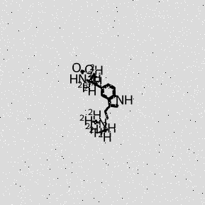 [2H]C([2H])([2H])N(CCc1c[nH]c2ccc(C([2H])([2H])[C@]3([2H])NC(=O)OC3([2H])[2H])cc12)C([2H])([2H])[2H]